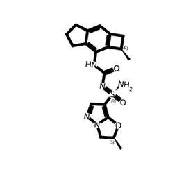 C[C@@H]1Cc2cc3c(c(NC(=O)N=[S@@](N)(=O)c4cnn5c4O[C@@H](C)C5)c21)CCC3